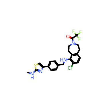 CNc1nc(-c2ccc(CNc3c(Cl)ccc4c3CCN(C(=O)C(F)(F)F)CC4)cc2)cs1